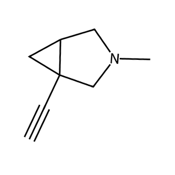 C#CC12CC1CN(C)C2